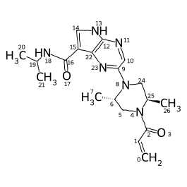 C=CC(=O)N1C[C@H](C)N(c2cnc3[nH]cc(C(=O)NC(C)C)c3n2)C[C@H]1C